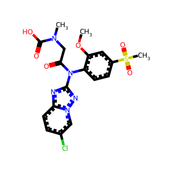 COc1cc(S(C)(=O)=O)ccc1N(C(=O)CN(C)C(=O)O)c1nc2ccc(Cl)cn2n1